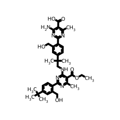 CCOC(=O)c1c(C)nc(-c2ccc(C(C)(C)C)cc2CO)nc1NCC(C)(C)c1ccc(-c2nc(C)c(C(=O)O)c(N)n2)c(CO)c1